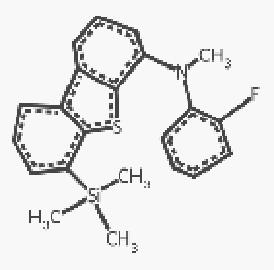 CN(c1ccccc1F)c1cccc2c1sc1c([Si](C)(C)C)cccc12